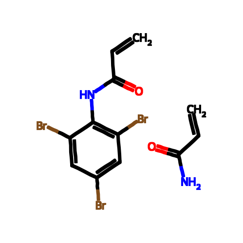 C=CC(=O)Nc1c(Br)cc(Br)cc1Br.C=CC(N)=O